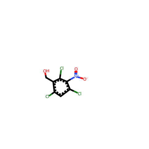 O=[N+]([O-])c1c(Cl)cc(Cl)c(CO)c1Cl